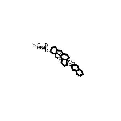 CNC(=O)O[C@@H]1CCC2=CC3=CC[C@]4(C)[C@@H](c5ccc6ccncc6c5)CC[C@H]4[C@@]34CC[C@]2(C1)O4